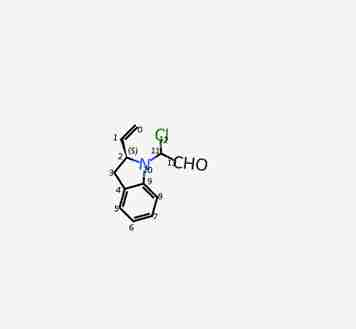 C=C[C@@H]1Cc2ccccc2N1C(Cl)C=O